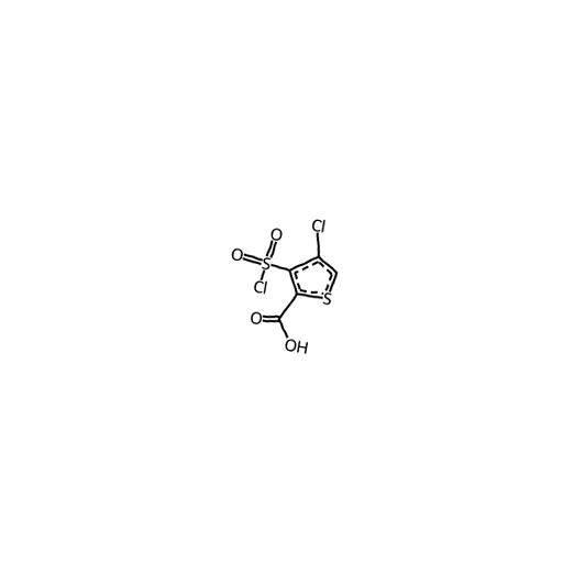 O=C(O)c1scc(Cl)c1S(=O)(=O)Cl